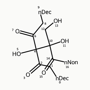 CCCCCCCCCCCC(=O)C(O)(C(=O)CCCCCCCCCCC)C(O)(CO)C(=O)CCCCCCCCC